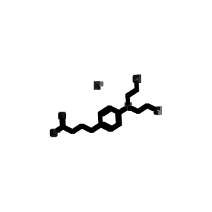 O=C([O-])CCCc1ccc(N(CCCl)CCCl)cc1.[K+]